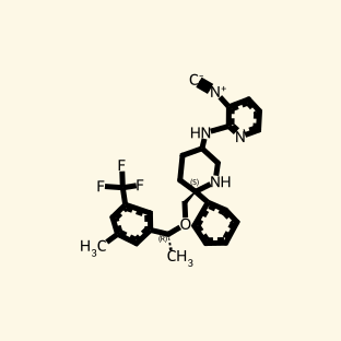 [C-]#[N+]c1cccnc1NC1CC[C@@](CO[C@H](C)c2cc(C)cc(C(F)(F)F)c2)(c2ccccc2)NC1